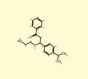 CN(C)c1ccc(C(CC(=O)c2ccccc2)SCCO)cc1